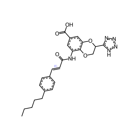 CCCCCc1ccc(/C=C/C(=O)Nc2cc(C(=O)O)cc3c2OCC(c2nnn[nH]2)O3)cc1